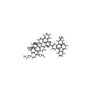 C=C/C=C\c1c(C)n(-c2ccc(-c3nc(-c4ccc(-n5c6ccccc6c6ccccc65)c(-c5cccc(C#N)c5)c4)nc(-c4ccccc4-c4ccc(C#N)cc4)n3)cc2-c2cccc(C#N)c2)c2ccccc12